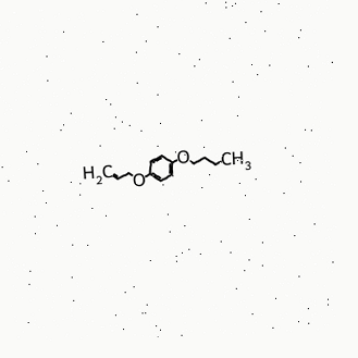 C=CCOc1ccc(OCCCC)cc1